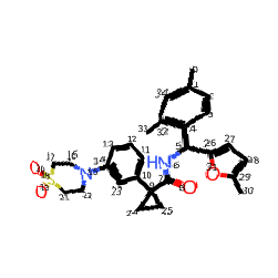 Cc1ccc(C(NC(=O)C2(c3cccc(N4CCS(=O)(=O)CC4)c3)CC2)c2ccc(C)o2)c(C)c1